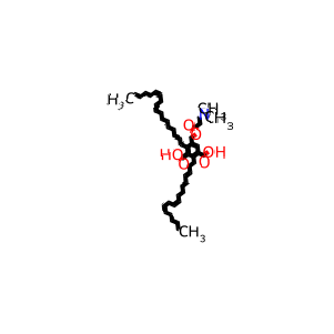 CCCCC/C=C\C/C=C\CCCCCCCCc1c(COC(=O)CCN(C)C)cc(C(=O)O)c(CCCCCCCC/C=C\C/C=C\CCCCC)c1C(=O)O